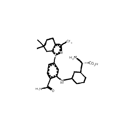 CC1(C)CCc2c(C(F)(F)F)nn(-c3ccc(C(N)=O)c(NC4CCCC([C@H](N)C(=O)O)C4)c3)c2C1